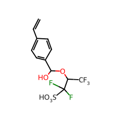 C=Cc1ccc(C(O)OC(C(F)(F)F)C(F)(F)S(=O)(=O)O)cc1